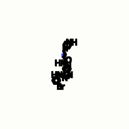 O=C(/C=C/CN1CCNCC1)Nc1cc2c(Nc3cccc(Br)c3)ncnc2cn1